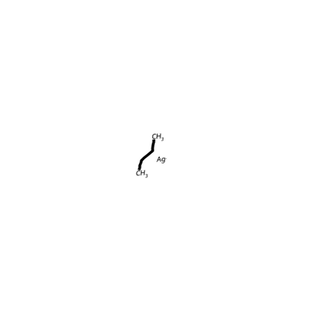 CCCC.[Ag]